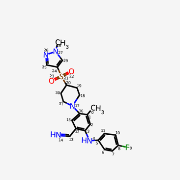 Cc1cc(Nc2ccc(F)cc2)c(C=N)cc1N1CCC(S(=O)(=O)c2cnn(C)c2)CC1